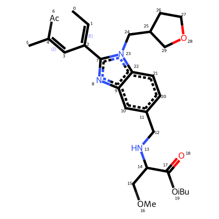 C/C=C(\C=C(\C)C(C)=O)c1nc2cc(CNC(COC)C(=O)OCC(C)C)ccc2n1CC1CCOC1